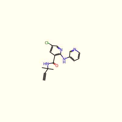 C#CC(C)(C)NC(=O)c1cc(Cl)cnc1Nc1cccnc1